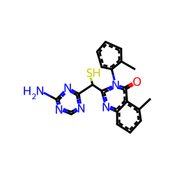 Cc1ccccc1-n1c(C(S)c2ncnc(N)n2)nc2cccc(C)c2c1=O